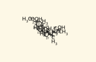 COC[C@@]1(O)CC[C@@]2(C)[C@@H](CC[C@@H]3[C@@H]2CC[C@]2(C)[C@@H]([C@H](C)CCC(C)(C)O)CC[C@@H]32)C1